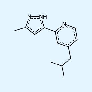 Cc1cc(-c2cc(CC(C)C)ccn2)[nH]n1